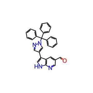 O=Cc1cnc2[nH]cc(-c3cnn(C(c4ccccc4)(c4ccccc4)c4ccccc4)c3)c2c1